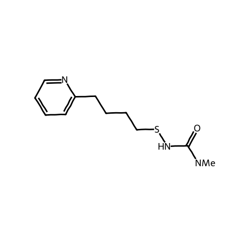 CNC(=O)NSCCCCc1ccccn1